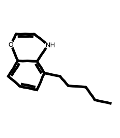 CCCCCc1cccc2c1NC=CO2